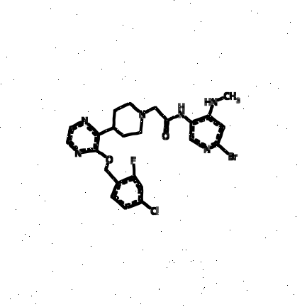 CNc1cc(Br)ncc1NC(=O)CN1CCC(c2nccnc2OCc2ccc(Cl)cc2F)CC1